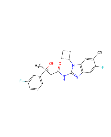 C[C@](O)(CC(=O)Nc1nc2cc(F)c(C#N)cc2n1C1CCC1)c1cccc(F)c1